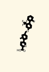 Cc1cc(COc2ccc(-c3ccccc3F)c(C(F)(F)F)c2)ccc1-c1ccc(C(=O)O)nc1